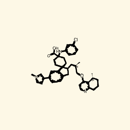 C[C@@H](COc1ccnc2c1[C@H](C)CCC2)CC1Cc2ccc(-c3ccn(C)c3)cc2C12CCC(Nc1cccc(Cl)c1)(C(=O)O)CC2